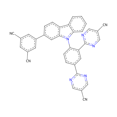 N#Cc1cnc(-c2ccc(-n3c4ccccc4c4ccc(-c5cc(C#N)cc(C#N)c5)cc43)c(-c3ncc(C#N)cn3)c2)nc1